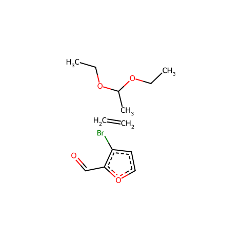 C=C.CCOC(C)OCC.O=Cc1occc1Br